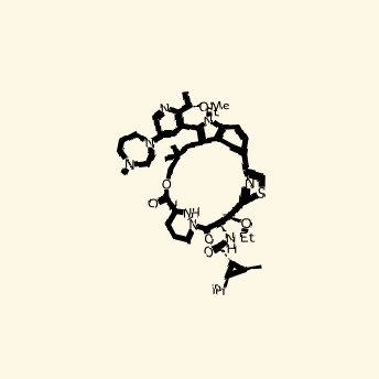 CCO[C@@H]1c2nc(cs2)-c2ccc3c(c2)c(c(-c2cc(N4CCCN(C)CC4)cnc2[C@H](C)OC)n3CC)CC(C)(C)COC(=O)[C@@H]2CCCN(N2)C(=O)[C@H]1NC(=O)[C@@H]1[C@@H](C)[C@H]1C(C)C